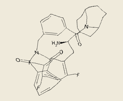 N[C@H](Cc1cc(F)c(F)cc1F)C1CC2CCC(C1)N2C(=O)c1cccc(CN2C(=O)c3ccccc3C2=O)c1